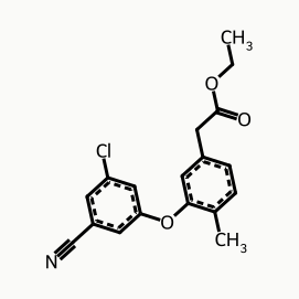 CCOC(=O)Cc1ccc(C)c(Oc2cc(Cl)cc(C#N)c2)c1